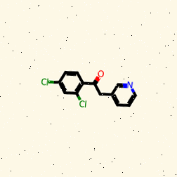 O=C(Cc1cccnc1)c1ccc(Cl)cc1Cl